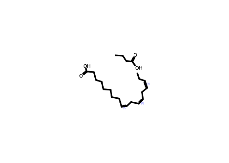 CC/C=C\C/C=C\C/C=C\CCCCCCCC(=O)O.CCCC(=O)O